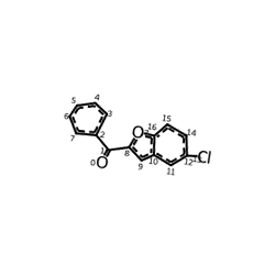 O=C(c1ccccc1)c1cc2cc(Cl)ccc2o1